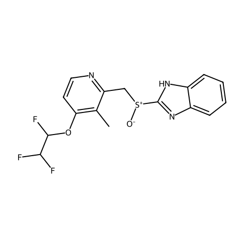 Cc1c(OC(F)C(F)F)ccnc1C[S+]([O-])c1nc2ccccc2[nH]1